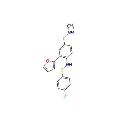 CNCc1ccc(NSc2ccc(F)cc2)c(-c2ccco2)c1